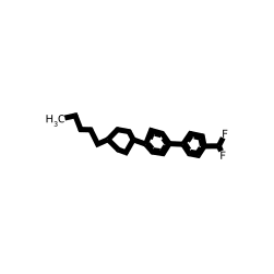 CCCCCC1CCC(c2ccc(-c3ccc(C(F)F)cc3)cc2)CC1